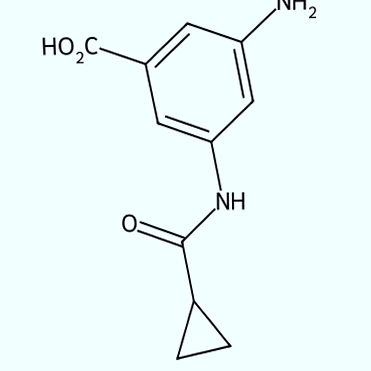 Nc1cc(NC(=O)C2CC2)cc(C(=O)O)c1